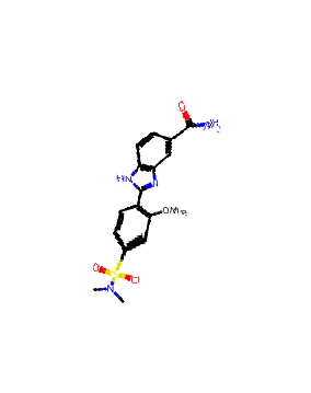 COc1cc(S(=O)(=O)N(C)C)ccc1-c1nc2cc(C(N)=O)ccc2[nH]1